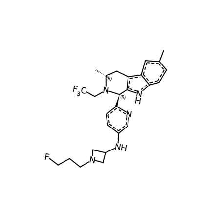 Cc1ccc2[nH]c3c(c2c1)C[C@@H](C)N(CC(F)(F)F)[C@@H]3c1ccc(NC2CN(CCCF)C2)cn1